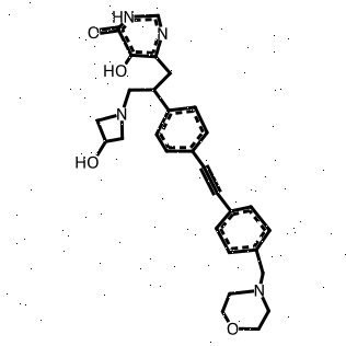 O=c1[nH]cnc(CC(CN2CC(O)C2)c2ccc(C#Cc3ccc(CN4CCOCC4)cc3)cc2)c1O